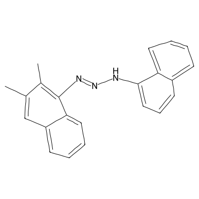 Cc1cc2ccccc2c(N=NNc2cccc3ccccc23)c1C